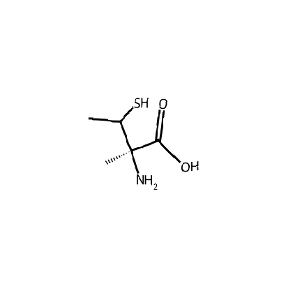 CC(S)[C@](C)(N)C(=O)O